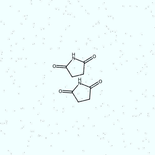 O=C1CCC(=O)N1.O=C1CCC(=O)N1